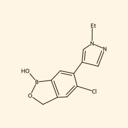 CCn1cc(-c2cc3c(cc2Cl)COB3O)cn1